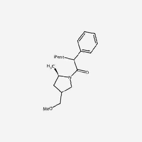 CCCC(C)C(C(=O)N1CC(COC)C[C@H]1C)c1ccccc1